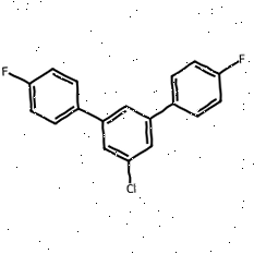 Fc1ccc(-c2cc(Cl)cc(-c3ccc(F)cc3)c2)cc1